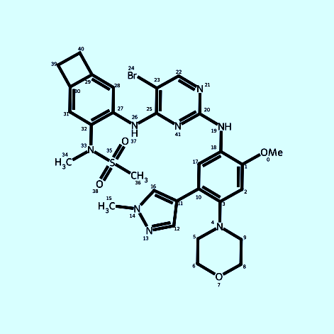 COc1cc(N2CCOCC2)c(-c2cnn(C)c2)cc1Nc1ncc(Br)c(Nc2cc3c(cc2N(C)S(C)(=O)=O)CC3)n1